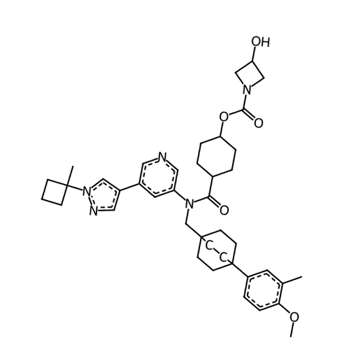 COc1ccc(C23CCC(CN(C(=O)C4CCC(OC(=O)N5CC(O)C5)CC4)c4cncc(-c5cnn(C6(C)CCC6)c5)c4)(CC2)CC3)cc1C